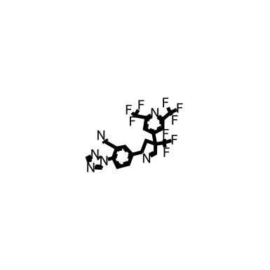 N#Cc1cc(C2CC(c3cc(C(F)(F)F)nc(C(F)(F)F)c3)(C(F)(F)F)C=N2)ccc1-n1cncn1